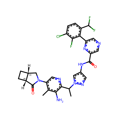 Cc1c(N2C[C@H]3CC[C@H]3C2=O)cnc(C(C)n2cc(NC(=O)c3cncc(-c4c(C(F)F)ccc(Cl)c4F)n3)cn2)c1N